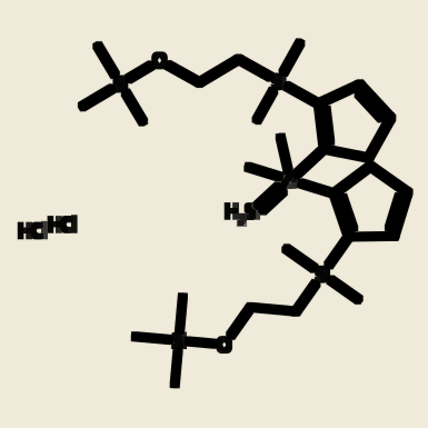 C[Si](C)(C)OCC[Si](C)(C)C1=[C]([Zr]([CH3])([CH3])(=[SiH2])[C]2=C([Si](C)(C)CCO[Si](C)(C)C)C=CC2)CC=C1.Cl.Cl